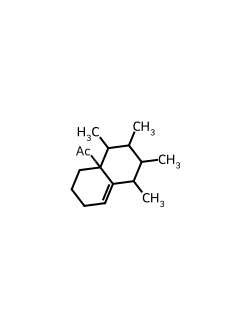 CC(=O)C12CCCC=C1C(C)C(C)C(C)C2C